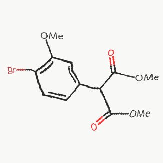 COC(=O)C(C(=O)OC)c1ccc(Br)c(OC)c1